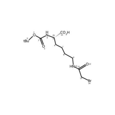 CC(C)(C)OC(=O)N[C@@H](CCCCNC(=O)CBr)C(=O)O